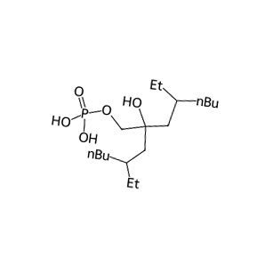 CCCCC(CC)CC(O)(COP(=O)(O)O)CC(CC)CCCC